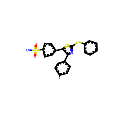 NS(=O)(=O)c1ccc(-c2sc(Sc3ccccc3)nc2-c2ccc(F)cc2)cc1